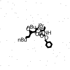 CCCCC=Cc1c([C@H](O)[C@H](CCCC)NC(=O)C(CC(C)C)NC(=O)OCC2CCCCC2)c1=O